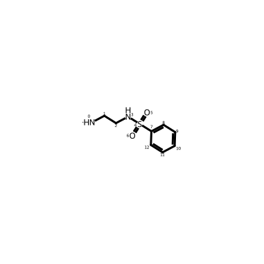 [NH]CCNS(=O)(=O)c1ccccc1